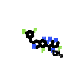 Cn1cc(-c2ccc3cc(Cc4cc(F)cc(F)c4)ncc3c2F)c2c(N)ncc(F)c21